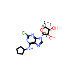 C[C@H]1O[C@@H](n2cnc3c(NC4CCCC4)nc(Cl)nc32)[C@H](O)[C@@H]1O